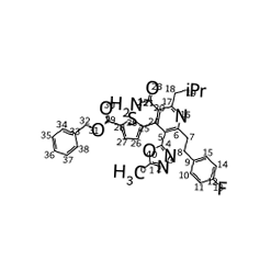 Cc1nnc(-c2c(CCc3ccc(F)cc3)nc(CC(C)C)c(C(N)=O)c2-c2ccc(C(=O)OCc3ccccc3)s2)o1